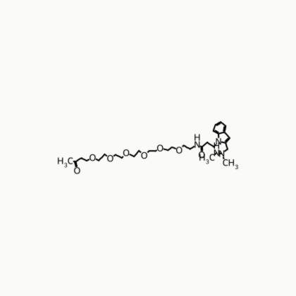 CNN(C)Cc1cc2ccccc2n1CCC(=O)NCCOCCOCCOCCOCCOCCOCCC(C)=O